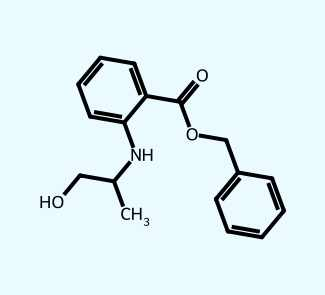 CC(CO)Nc1ccccc1C(=O)OCc1ccccc1